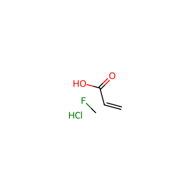 C=CC(=O)O.CF.Cl